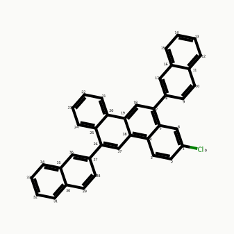 Clc1ccc2c(c1)c(-c1ccc3ccccc3c1)cc1c3ccccc3c(-c3ccc4ccccc4c3)cc21